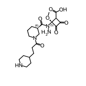 CO[C@]1(N(N)C(=O)[C@@H]2CCCN(C(=O)CCC3CCNCC3)C2)C(=O)C(=O)C1C(=O)O